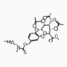 CNCCN(C)C(=S)OCc1ccc(O[C@@H]2O[C@H](C(=O)OC)[C@@H](OC(C)=O)[C@H](OC(C)=O)[C@H]2OC(C)=O)c(Cl)c1